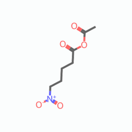 CC(=O)OC(=O)CCCC[N+](=O)[O-]